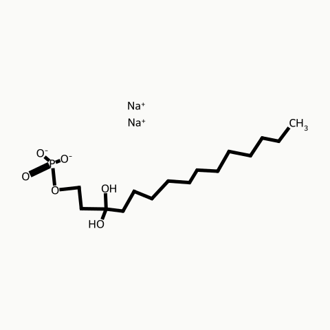 CCCCCCCCCCCCC(O)(O)CCOP(=O)([O-])[O-].[Na+].[Na+]